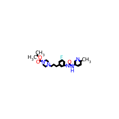 Cc1ccc(NC(=O)Nc2cc(F)cc(CCCN3CCN(C(=O)OC(C)C)CC3)c2)cn1